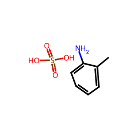 Cc1ccccc1N.O=S(=O)(O)O